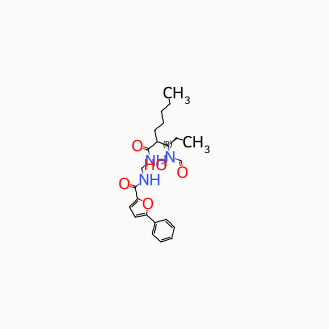 CCCCCC(C(=O)NCNC(=O)c1ccc(-c2ccccc2)o1)[C@@H](CC)N(O)C=O